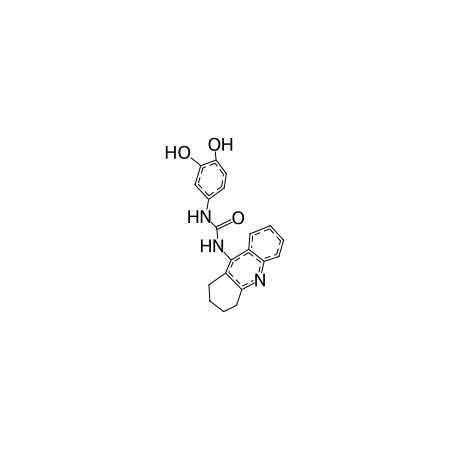 O=C(Nc1ccc(O)c(O)c1)Nc1c2c(nc3ccccc13)CCCC2